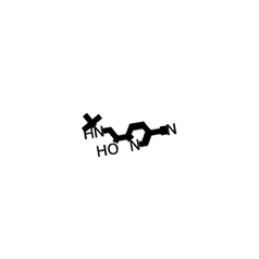 CC(C)(C)NCC(O)c1ccc(C#N)cn1